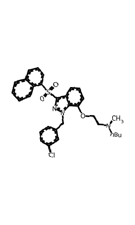 CCCCN(C)CCOc1cccc2c(S(=O)(=O)c3cccc4ccccc34)nn(Cc3cccc(Cl)c3)c12